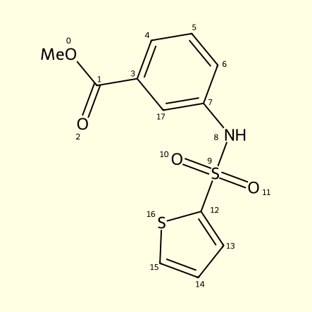 COC(=O)c1cccc(NS(=O)(=O)c2cccs2)c1